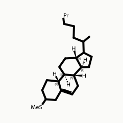 CSC1CC[C@H]2C(=CC[C@H]3[C@@H]4CCC(C(C)CCCC(C)C)[C@H]4CC[C@@H]32)C1